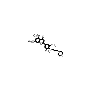 COc1cc(OC)c2c(=O)cc(-c3cc(C)c(OCCCN4CCOCC4)c(C)c3)oc2c1